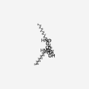 CCCCCCCCCCNC(=O)OC[C@H](CSC[C@H](C)C(=O)O)OC(=O)NCCCCCCCCCC